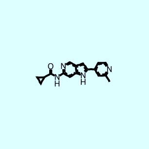 Cc1cc(-c2cc3cnc(NC(=O)C4CC4)cc3[nH]2)ccn1